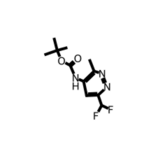 Cc1nnc(C(F)F)cc1NC(=O)OC(C)(C)C